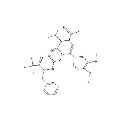 COc1ccc(C2=CN(C(C)=O)C(C(C)C)C(=O)N2CC(=O)NC(Cc2ccccc2)C(=O)C(F)(F)F)cc1OC